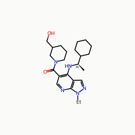 CCn1ncc2c(N[C@H](C)C3CCCCC3)c(C(=O)N3CCCC(CO)C3)cnc21